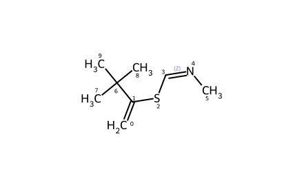 C=C(S/C=N\C)C(C)(C)C